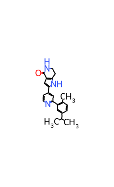 Cc1ccc(C(C)C)cc1-c1cc(-c2cc3c([nH]2)CCNC3=O)ccn1